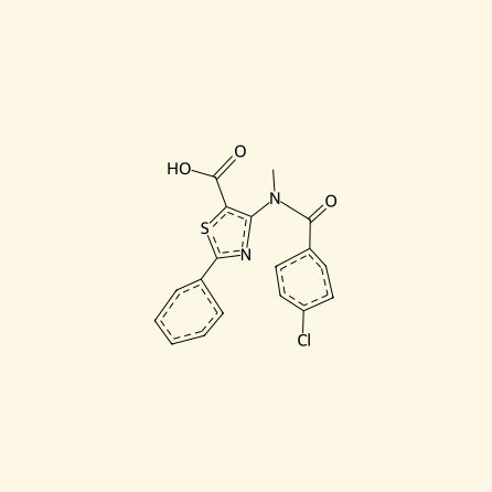 CN(C(=O)c1ccc(Cl)cc1)c1nc(-c2ccccc2)sc1C(=O)O